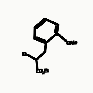 CCOC(=O)C(CC)Cc1ccccc1OC